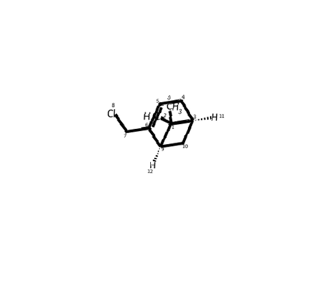 CC1(C)[C@H]2CC=C(CCl)[C@@H]1C2